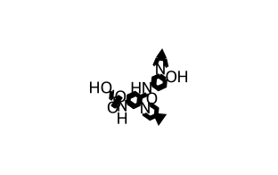 O=C(Nc1ccc(O)c(N2CC3CC3C2)c1)c1ccc(NS(=O)(=O)CCO)cc1N1CCC2(CC1)CC2